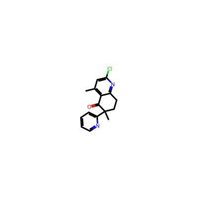 Cc1cc(Cl)nc2c1C(=O)C(C)(c1ccccn1)CC2